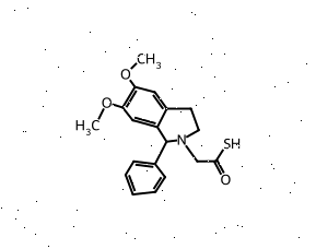 COc1cc2c(cc1OC)C(c1ccccc1)N(CC(=O)S)CC2